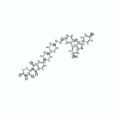 O=C1CCC(N2C(=O)c3ccc(N4CCN(C5CCN(CCOc6ccc(Oc7c(-c8ccc(Br)cc8)sc8cc(O)ccc78)cc6)CC5)CC4)cc3C2=O)C(=O)N1